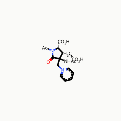 CC(=O)NC1(C[n+]2ccccc2)C[C@@H](C(=O)O)N(C(C)=O)C1=O.CC(=O)O